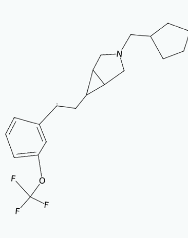 FC(F)(F)Oc1cccc([CH]CC2C3CN(CC4CCCC4)CC23)c1